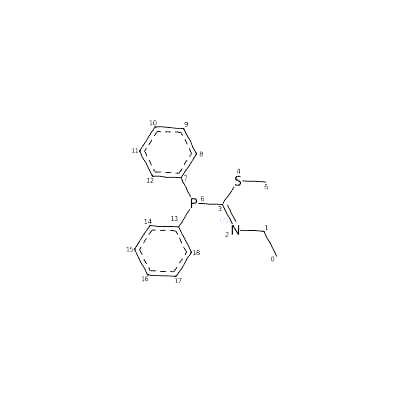 CC/N=C(\SC)P(c1ccccc1)c1ccccc1